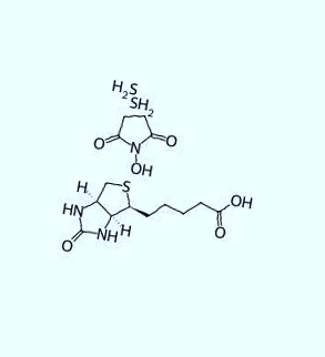 O=C(O)CCCC[C@@H]1SC[C@@H]2NC(=O)N[C@@H]21.O=C1CCC(=O)N1O.S.S